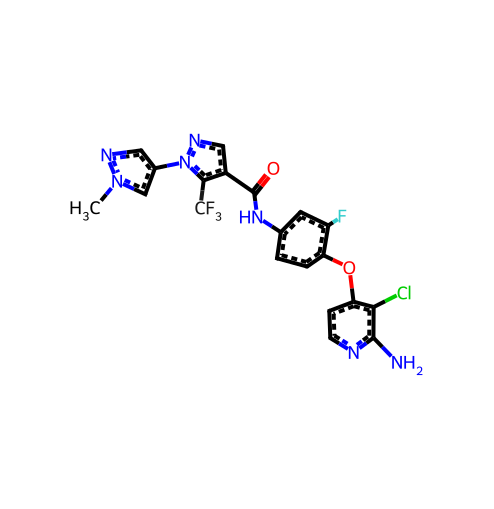 Cn1cc(-n2ncc(C(=O)Nc3ccc(Oc4ccnc(N)c4Cl)c(F)c3)c2C(F)(F)F)cn1